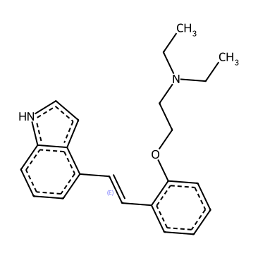 CCN(CC)CCOc1ccccc1/C=C/c1cccc2[nH]ccc12